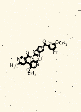 COc1cc(Cl)cc(C(=O)N2Cc3nc(NC(=O)c4cnc(C)cc4-c4cc(Cl)ncc4OC)sc3C2)n1